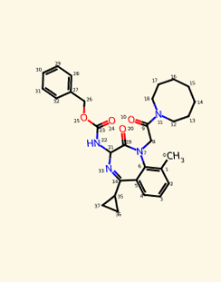 Cc1cccc2c1N(CC(=O)N1CCCCCCC1)C(=O)C(NC(=O)OCc1ccccc1)N=C2C1CC1